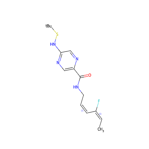 C/C=C(F)\C=C/CNC(=O)c1cnc(NSC(C)(C)C)cn1